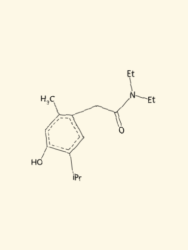 CCN(CC)C(=O)Cc1cc(C(C)C)c(O)cc1C